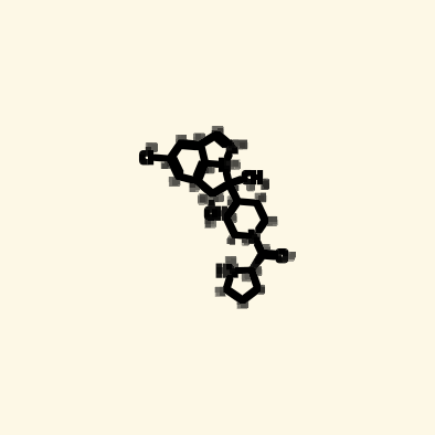 CC1(C2CCN(C(=O)[C@H]3CCCN3)CC2)[C@H](O)c2cc(Cl)cc3cnn1c23